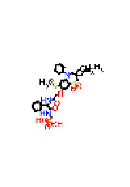 CCCCC1(CC)CN(c2ccccc2)c2cc(SC)c(OCC(=O)N[C@@H](C(=O)NCP(=O)(O)O)c3ccccc3)cc2S(=O)(=O)C1